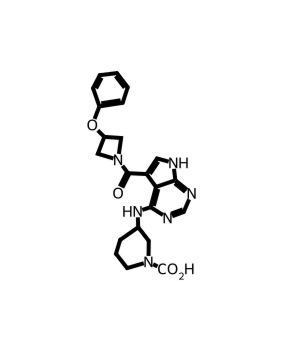 O=C(O)N1CCCC(Nc2ncnc3[nH]cc(C(=O)N4CC(Oc5ccccc5)C4)c23)C1